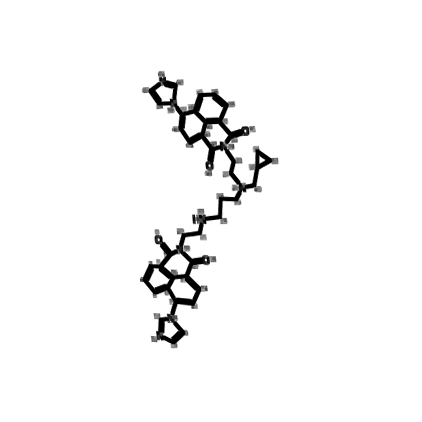 O=C1c2cccc3c(-n4ccnc4)ccc(c23)C(=O)N1CCNCCCN(CCN1C(=O)c2cccc3c(-n4ccnc4)ccc(c23)C1=O)CC1CC1